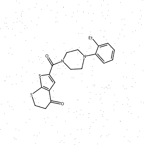 CCc1ccccc1N1CCN(C(=O)c2cc3c(s2)SCCC3=O)CC1